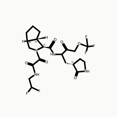 O=C(NCC(F)F)C(=O)N1C[C@@H]2CCC[C@@H]2[C@H]1C(=O)NC(C[C@@H]1CCNC1=O)C(=O)COC(F)(F)F